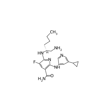 CCCC[C@H](CN)Nc1nc(Nc2cncc(C3CC3)c2)c(C(N)=O)cc1F